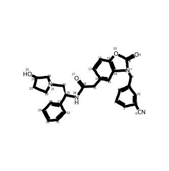 N#Cc1cccc(Cn2c(=O)oc3ccc(CC(=O)N[C@H](CN4CCC(O)C4)c4ccccc4)cc32)c1